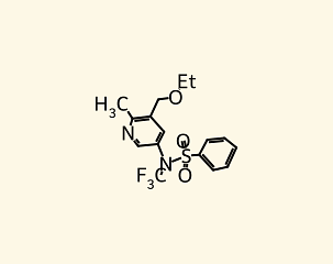 CCOCc1cc(N(C(F)(F)F)S(=O)(=O)c2ccccc2)cnc1C